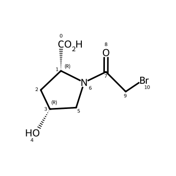 O=C(O)[C@H]1C[C@@H](O)CN1C(=O)CBr